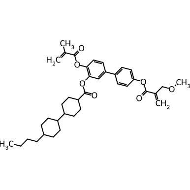 C=C(C)C(=O)Oc1ccc(-c2ccc(OC(=O)C(=C)COC)cc2)cc1OC(=O)C1CCC(C2CCC(CCCC)CC2)CC1